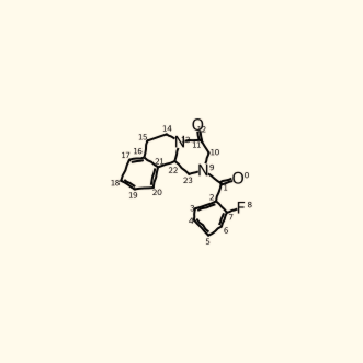 O=C(c1ccccc1F)N1CC(=O)N2CCc3ccccc3C2C1